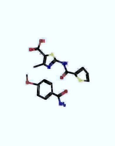 COc1ccc(C(N)=O)cc1.Cc1nc(NC(=O)c2cccs2)sc1C(=O)O